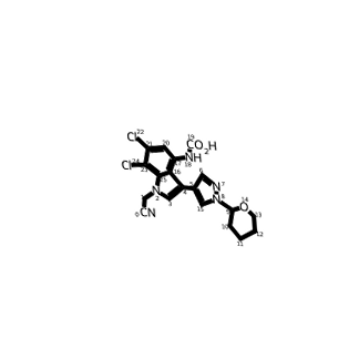 N#CCn1cc(-c2cnn(C3CCCCO3)c2)c2c(NC(=O)O)cc(Cl)c(Cl)c21